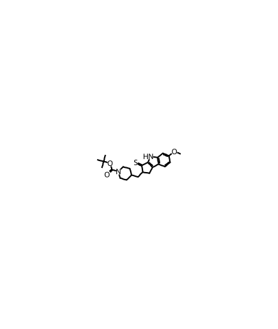 COc1ccc2c3c([nH]c2c1)C(=S)C(CC1CCN(C(=O)OC(C)(C)C)CC1)C3